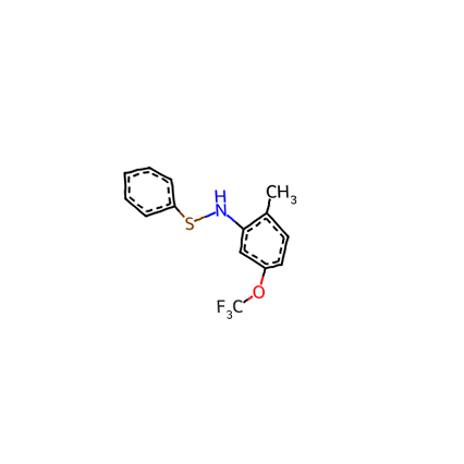 Cc1ccc(OC(F)(F)F)cc1NSc1ccccc1